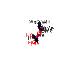 COc1cc(C[C@@H]2c3cc(CO)c(CO)cc3CC[N@@+]2(C)CCCOC(=O)/C=C\C(=O)OCCC[N@+]2(C)CCc3cc(OC)c(OC)cc3[C@H]2Cc2ccc(OC)c(OC)c2)ccc1CO